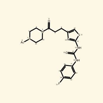 CC(=O)N1CCN(C(=O)CCc2csc(NC(=O)Nc3ccc(F)cc3)n2)CC1